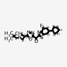 CC(C)(C)CN1CC(c2nnc(C(=O)c3nc4c(F)cc(-c5ccccc5)cc4s3)o2)C1